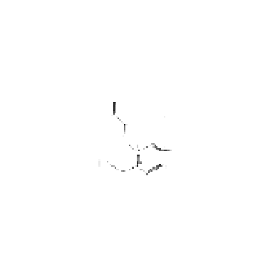 C=CCOc1cc(F)ccc1CN.Cl